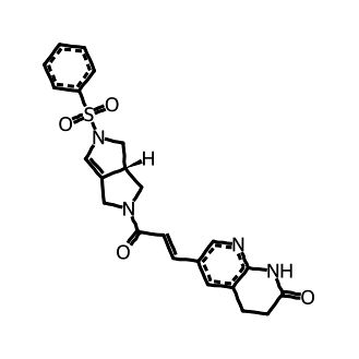 O=C1CCc2cc(/C=C/C(=O)N3CC4=CN(S(=O)(=O)c5ccccc5)C[C@@H]4C3)cnc2N1